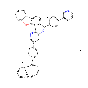 C1=C\C2=C/C=C\C=C/C=C(\C3=CC=C(c4cnc5c(c4)nc(-c4ccc(-c6cccnc6)cc4)c4ccc6c7ccccc7oc6c45)CC3)CC2C=C1